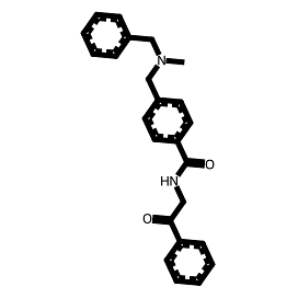 CN(Cc1ccccc1)Cc1ccc(C(=O)NCC(=O)c2ccccc2)cc1